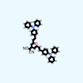 N#CC(C#N)=C1C=C(C=Cc2ccc(N(c3ccccc3)c3ccccc3)cc2)OC(C=Cc2ccc(N(c3ccccc3)c3ccccc3)cc2)=C1